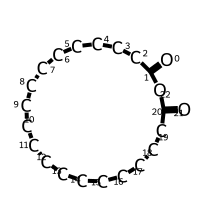 O=C1CCCCCCCCCCCCCCCCCCC(=O)O1